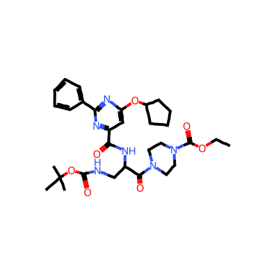 CCOC(=O)N1CCN(C(=O)C(CNC(=O)OC(C)(C)C)NC(=O)c2cc(OC3CCCC3)nc(-c3ccccc3)n2)CC1